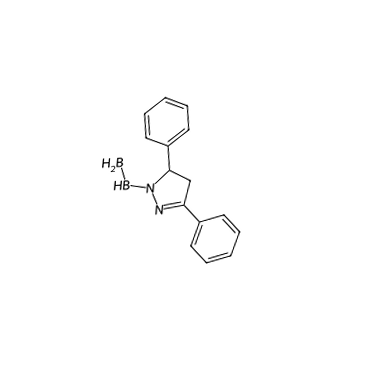 BBN1N=C(c2ccccc2)CC1c1ccccc1